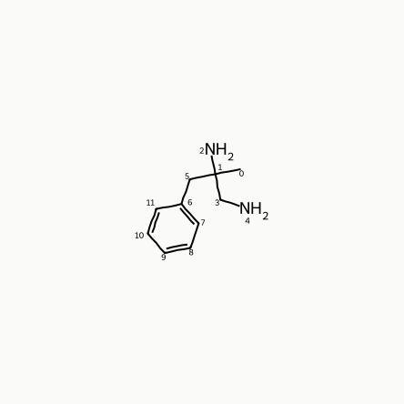 CC(N)(CN)Cc1ccccc1